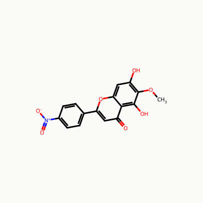 COc1c(O)cc2oc(-c3ccc([N+](=O)[O-])cc3)cc(=O)c2c1O